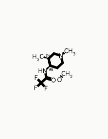 C=O.C[C@H]1CN(C)CC[C@H]1NC(=O)C(F)(F)F